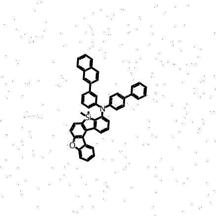 C[Si]1(C)c2ccc3oc4ccccc4c3c2-c2cccc(N(c3ccc(-c4ccccc4)cc3)c3cccc(-c4ccc5ccccc5c4)c3)c21